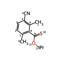 Cc1ccc(C#N)c(C)c1C(=S)OC(C)C